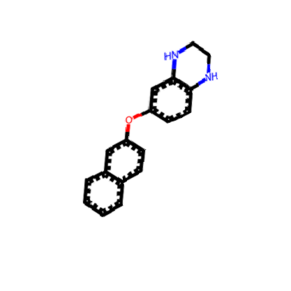 c1ccc2cc(Oc3ccc4c(c3)NCCN4)ccc2c1